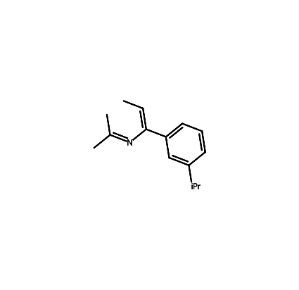 C/C=C(\N=C(C)C)c1cccc(C(C)C)c1